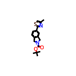 Cc1csc(-c2ccc3c(c2)CN(C(=O)OC(C)(C)C)C3)n1